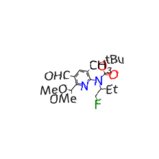 CCC(CF)N(C(=O)OC(C)(C)C)c1nc(C(OC)OC)c(C=O)cc1C